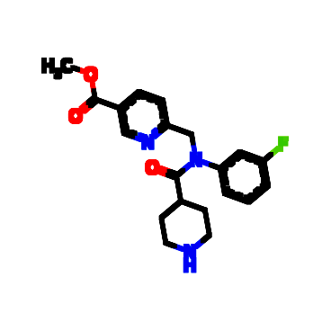 COC(=O)c1ccc(CN(C(=O)C2CCNCC2)c2cccc(F)c2)nc1